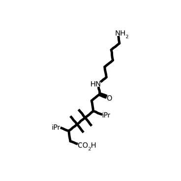 CC(C)C(CC(=O)O)C(C)(C)C(C)(C)C(CC(=O)NCCCCCN)C(C)C